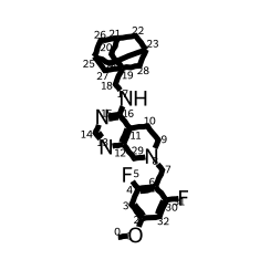 COc1cc(F)c(CN2CCc3c(ncnc3NCC34CC5CC(CC(C5)C3)C4)C2)c(F)c1